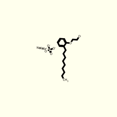 CCCCCCCCCc1ccccc1OCC[O].O=P([O-])([O-])[O-].[Na+].[Na+].[Na+]